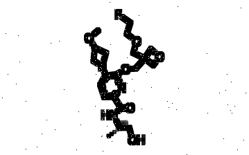 COC1CN(c2ccc(C(=O)N[C@@H](C)CO)nc2OCC2(COCCF)COC2)C1